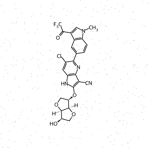 Cn1cc(C(=O)C(F)(F)F)c2cc(-c3nc4c(C#N)c(O[C@@H]5CO[C@H]6[C@@H]5OC[C@H]6O)[nH]c4cc3Cl)ccc21